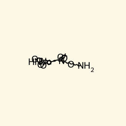 CC(C)(C)OC(=O)N(CCC#Cc1ccc2c(c1)CN(C1CCC(=O)NC1=O)C2=O)CCCCOCCCCN